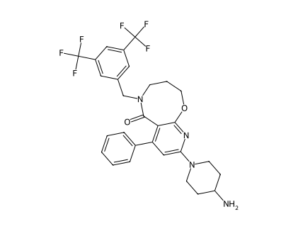 NC1CCN(c2cc(-c3ccccc3)c3c(n2)OCCCN(Cc2cc(C(F)(F)F)cc(C(F)(F)F)c2)C3=O)CC1